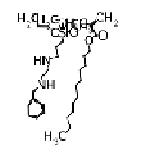 C=C(C)C(=O)OCCCCCCCCCCCC.C=CCO[Si](CCCNCCNCc1ccccc1)(OC)OC